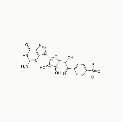 Nc1nc2c(ncn2[C@@H]2O[C@H](C(O)C(=O)c3ccc(S(=O)(=O)F)cc3)[C@@H](O)[C@H]2O)c(=O)[nH]1